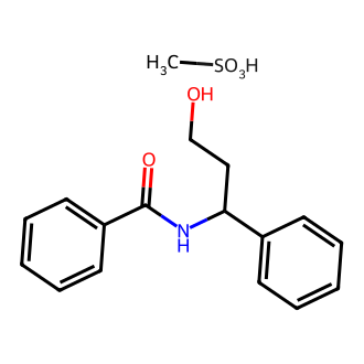 CS(=O)(=O)O.O=C(NC(CCO)c1ccccc1)c1ccccc1